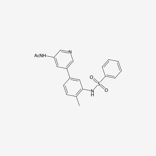 CC(=O)Nc1cncc(-c2ccc(C)c(NS(=O)(=O)c3ccccc3)c2)c1